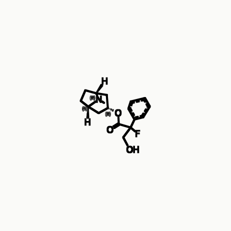 CN1[C@@H]2CC[C@H]1C[C@@H](OC(=O)C(F)(CO)c1ccccc1)C2